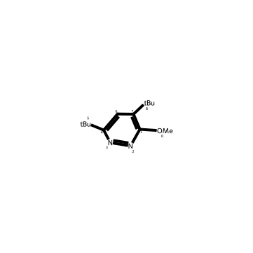 COc1nnc(C(C)(C)C)cc1C(C)(C)C